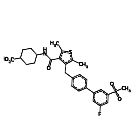 Cc1sc(C)c(C(=O)NC2CCC(C(=O)O)CC2)c1Cc1ccc(-c2cc(F)cc(S(C)(=O)=O)c2)cc1